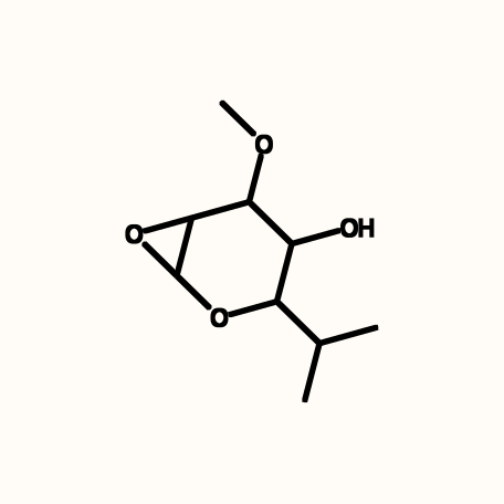 COC1C(O)C(C(C)C)OC2OC21